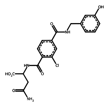 NC(=O)CC(NC(=O)c1ccc(C(=O)NCc2cccc(O)c2)cc1Cl)C(=O)O